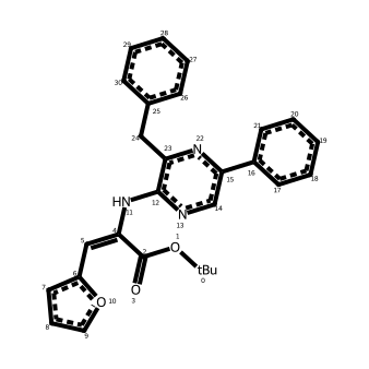 CC(C)(C)OC(=O)C(=Cc1ccco1)Nc1ncc(-c2ccccc2)nc1Cc1ccccc1